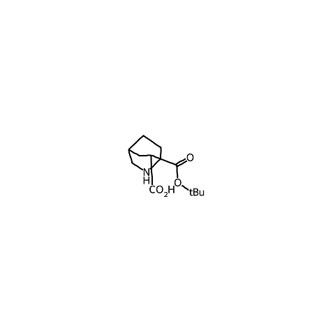 CC(C)(C)OC(=O)C12CCC(CN1)CC2C(=O)O